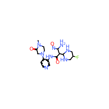 CN1CCN(c2ccncc2NC(=O)C(C(N)N=O)C2NCC(F)CN2)CC1=O